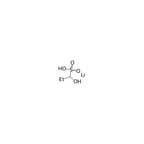 CCC(O)S(=O)(=O)O.[Li]